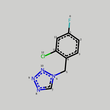 Fc1ccc(Cn2[c]nnn2)c(Cl)c1